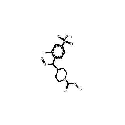 CC(C)(C)OC(=O)N1CCC(C([S+]=O)c2ccc(S(N)(=O)=O)cc2F)CC1